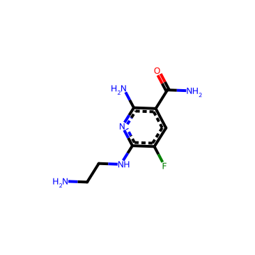 NCCNc1nc(N)c(C(N)=O)cc1F